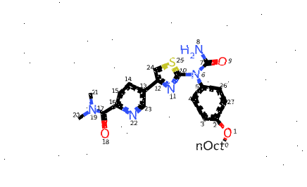 CCCCCCCCOc1ccc(N(C(N)=O)c2nc(-c3ccc(C(=O)N(C)C)nc3)cs2)cc1